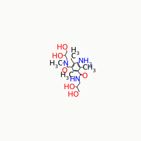 CCc1c(N)c(C)c(C(=O)NCC(O)CO)c(C)c1C(=O)N(C)CC(O)CO